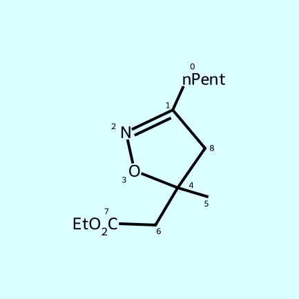 CCCCCC1=NOC(C)(CC(=O)OCC)C1